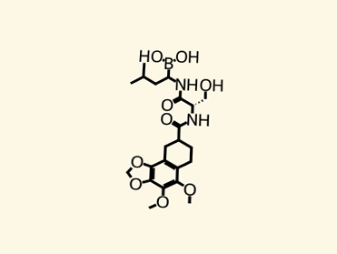 COc1c2c(c3c(c1OC)OCO3)CC(C(=O)N[C@@H](CO)C(=O)NC(CC(C)C)B(O)O)CC2